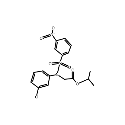 CC(C)OC(=O)CN(c1cccc(Cl)c1)S(=O)(=O)c1cccc([N+](=O)[O-])c1